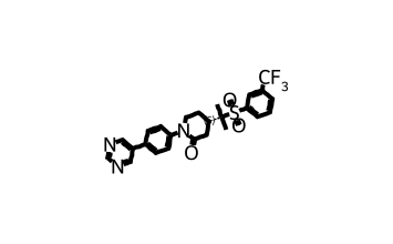 CC(C)([C@H]1CCN(c2ccc(-c3cncnc3)cc2)C(=O)C1)S(=O)(=O)c1cccc(C(F)(F)F)c1